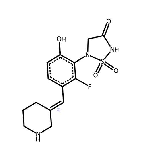 O=C1CN(c2c(O)ccc(/C=C3\CCCNC3)c2F)S(=O)(=O)N1